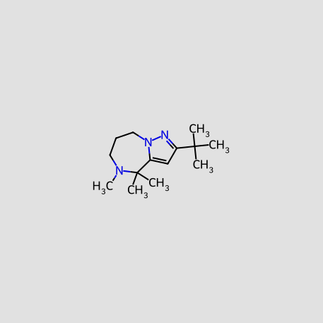 CN1CCCn2nc(C(C)(C)C)cc2C1(C)C